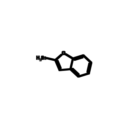 [SnH3][c]1cc2ccccc2o1